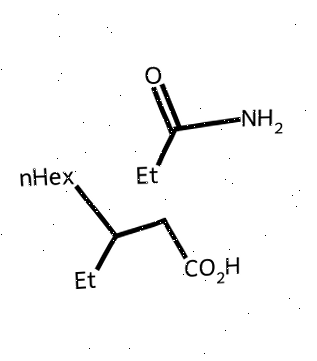 CCC(N)=O.CCCCCCC(CC)CC(=O)O